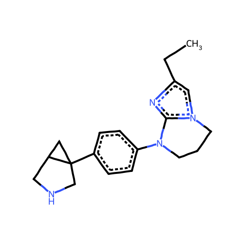 CCc1cn2c(n1)N(c1ccc(C34CNCC3C4)cc1)CCC2